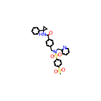 CS(=O)(=O)c1ccc(S(=O)(=O)N(Cc2ccc(C(=O)NC3(c4ccccc4)CC3)cc2)Cc2ccccn2)cc1